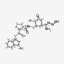 CC(=O)c1cn(CC(=O)N2CCC[C@H]2C(=O)NCc2cc(/C(N)=N/N=N)cc(Cl)c2F)c2ccccc12